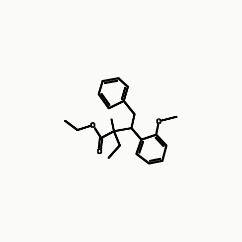 CCOC(=O)C(C)(CC)C(Cc1ccccc1)c1ccccc1OC